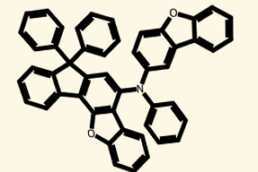 c1ccc(N(c2ccc3oc4ccccc4c3c2)c2cc3c(c4oc5ccccc5c24)-c2ccccc2C3(c2ccccc2)c2ccccc2)cc1